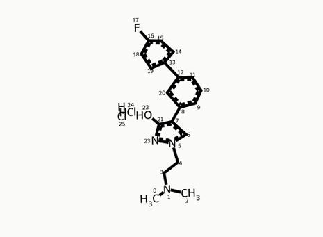 CN(C)CCn1cc(-c2cccc(-c3ccc(F)cc3)c2)c(O)n1.Cl.Cl